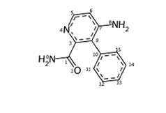 NC(=O)c1nccc(N)c1-c1ccccc1